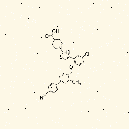 Cc1cc(-c2ccc(C#N)cc2)ccc1COc1ccc(Cl)cc1-c1csc(N2CCC(C(=O)O)CC2)n1